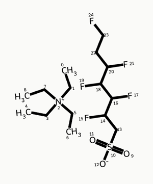 CC[N+](CC)(CC)CC.O=S(=O)([O-])CC(F)C(F)C(F)C(F)CCF